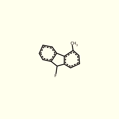 Cc1cccc2c1-c1ccccc1C2F